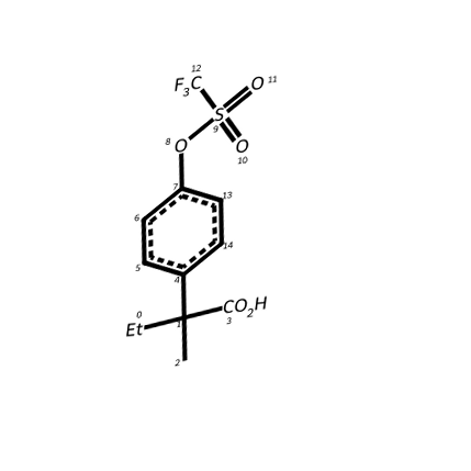 CCC(C)(C(=O)O)c1ccc(OS(=O)(=O)C(F)(F)F)cc1